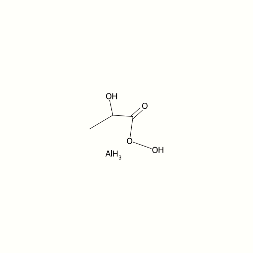 CC(O)C(=O)OO.[AlH3]